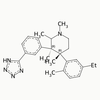 CCc1ccc(C)c([C@@]2(C)CCN(C)C(C)[C@]2(C)c2cccc(-c3nnn[nH]3)c2)c1